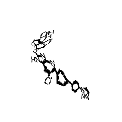 O[C@@H]1CO[C@H]2[C@@H]1OC[C@H]2Oc1nc2nc(-c3ccc(-c4ccc(-n5ccnn5)cc4)cc3)c(Cl)cc2[nH]1